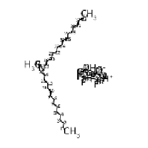 CCCCCCCCCCCCCCCCN(C)CCCCCCCCCCCCCCCC.O=S(=O)(O)C(F)(F)F.O=S(=O)([O-])C(F)(F)F.[H+]